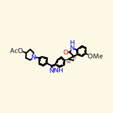 COc1ccc2c(c1)[C@]1(C[C@H]1c1ccc3c(-c4ccc(N5CCC(OC(C)=O)CC5)cc4)n[nH]c3c1)C(=O)N2